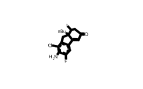 CCCCC12Cc3c(cc(F)c(N)c3Cl)C1=CC(=O)CC2I